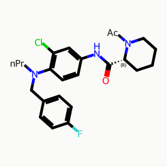 CCCN(Cc1ccc(F)cc1)c1ccc(NC(=O)[C@H]2CCCCN2C(C)=O)cc1Cl